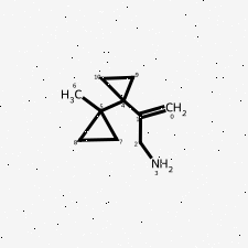 C=C(CN)C1(C2(C)CC2)CC1